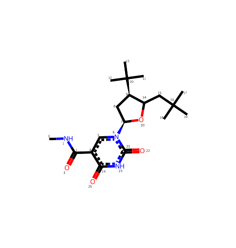 CNC(=O)c1cn([C@H]2C[C@@H](C(C)(C)C)C(CC(C)(C)C)O2)c(=O)[nH]c1=O